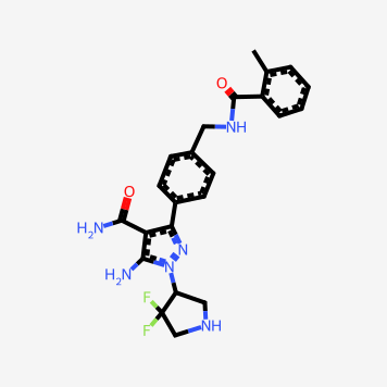 Cc1ccccc1C(=O)NCc1ccc(-c2nn(C3CNCC3(F)F)c(N)c2C(N)=O)cc1